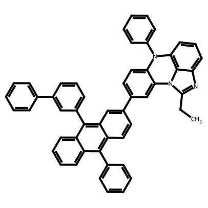 CCc1nc2cccc3c2n1-c1cc(-c2ccc4c(-c5ccccc5)c5ccccc5c(-c5cccc(-c6ccccc6)c5)c4c2)ccc1N3c1ccccc1